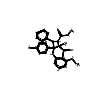 COC(=O)[C@@H]1C(c2ccccc2)C2(c3ccc(Cl)cc3)Oc3cncc(OC)c3C(=O)C12O